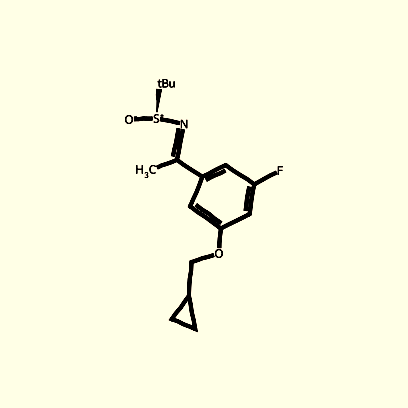 C/C(=N\[S@@+]([O-])C(C)(C)C)c1cc(F)cc(OCC2CC2)c1